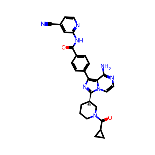 N#Cc1ccnc(NC(=O)c2ccc(-c3nc([C@@H]4CCCN(C(=O)C5CC5)C4)n4ccnc(N)c34)cc2)c1